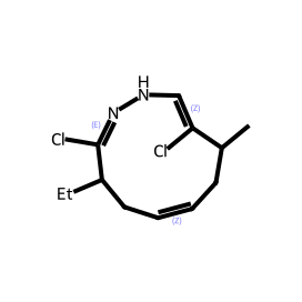 CCC1C/C=C\CC(C)/C(Cl)=C/N/N=C\1Cl